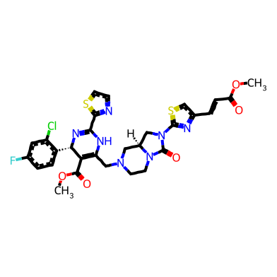 COC(=O)/C=C/c1csc(N2C[C@@H]3CN(CC4=C(C(=O)OC)[C@H](c5ccc(F)cc5Cl)N=C(c5nccs5)N4)CCN3C2=O)n1